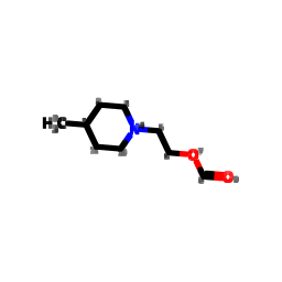 CC1CCN(CCOC=O)CC1